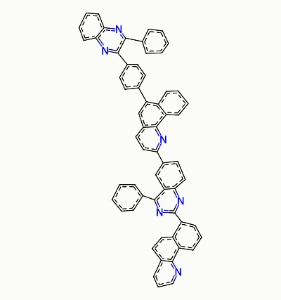 c1ccc(-c2nc3ccccc3nc2-c2ccc(-c3cc4ccc(-c5ccc6nc(-c7cccc8c7ccc7cccnc78)nc(-c7ccccc7)c6c5)nc4c4ccccc34)cc2)cc1